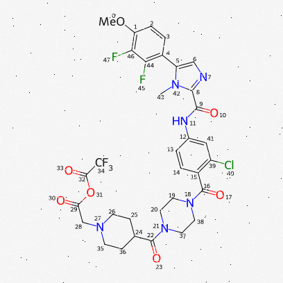 COc1ccc(-c2cnc(C(=O)Nc3ccc(C(=O)N4CCN(C(=O)C5CCN(CC(=O)OC(=O)C(F)(F)F)CC5)CC4)c(Cl)c3)n2C)c(F)c1F